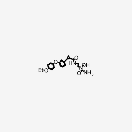 CCOc1ccc(Oc2cccc(C3CC3C(=O)NCCN(O)C(N)=O)c2)cc1